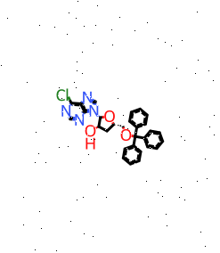 O[C@@H]1C[C@@H](COC(c2ccccc2)(c2ccccc2)c2ccccc2)O[C@H]1n1cnc2c(Cl)ncnc21